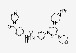 CCCN1CCCN(C2=CN(c3ccc(NC(=O)Nc4ccc(C(=O)N5CCN(C)CC5)cc4)cc3)SC(N3CCOCC3)=C2)CC1